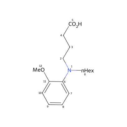 CCCCCCN(CCCC(=O)O)c1ccccc1OC